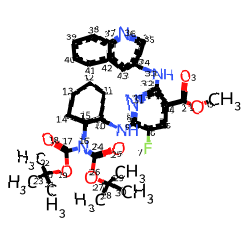 COC(=O)c1cc(F)c(NC2CCCCC2N(C(=O)OC(C)(C)C)C(=O)OC(C)(C)C)nc1Nc1cnc2ccccc2c1